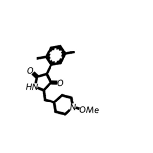 CON1CCC(CC2NC(=O)C(c3cc(C)ccc3C)C2=O)CC1